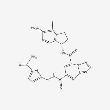 Cc1c(C(=O)O)ccc2c1CC[C@@H]2NC(=O)c1cc(C(=O)NCc2ccc(C(N)=O)s2)nc2ncnn12